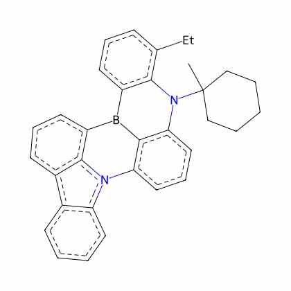 CCc1cccc2c1N(C1(C)CCCCC1)c1cccc3c1B2c1cccc2c4ccccc4n-3c12